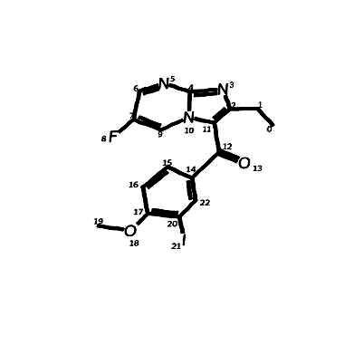 CCc1nc2ncc(F)cn2c1C(=O)c1ccc(OC)c(I)c1